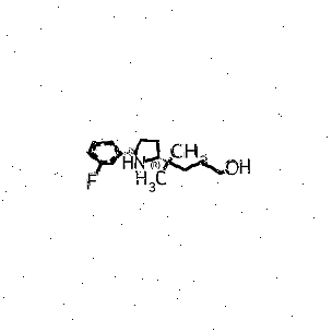 CC(C)(CCCO)[C@H]1CC[C@@H](c2cccc(F)c2)N1